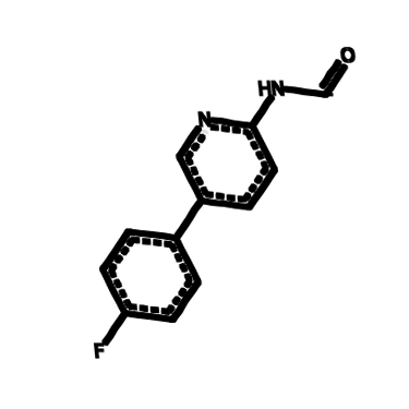 O=[C]Nc1ccc(-c2ccc(F)cc2)cn1